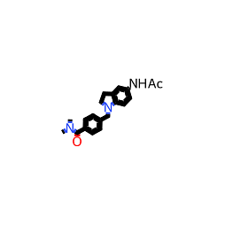 CC(=O)Nc1ccc2c(c1)CCN2Cc1ccc(C(=O)N(C)C)cc1